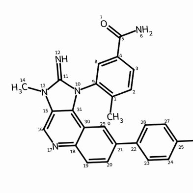 Cc1ccc(C(N)=O)cc1-n1c(=N)n(C)c2cnc3ccc(-c4ccc(Cl)cc4)cc3c21